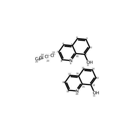 Oc1cccc2cccnc12.Oc1cccc2cccnc12.[Cl-].[Cl-].[Cl-].[Ga+3]